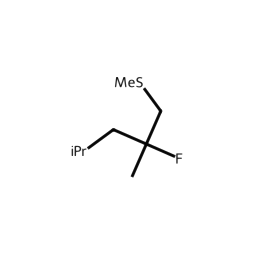 CSCC(C)(F)CC(C)C